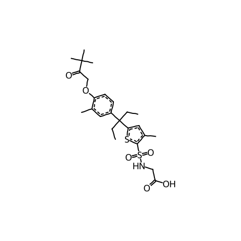 CCC(CC)(c1ccc(OCC(=O)C(C)(C)C)c(C)c1)c1cc(C)c(S(=O)(=O)NCC(=O)O)s1